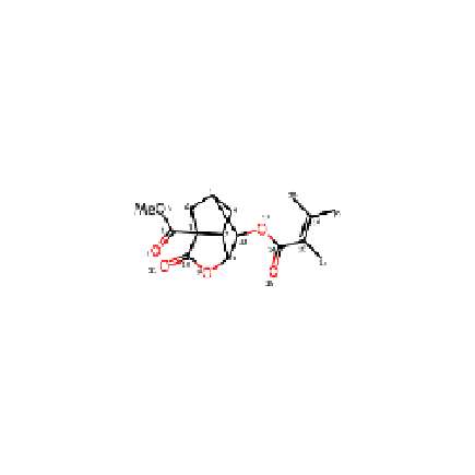 COC(=O)C12CC3CC1C(OC2=O)C3OC(=O)C(C)=C(C)C